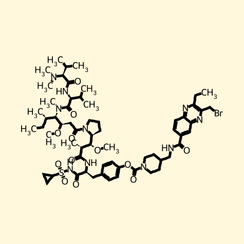 CCc1nc2ccc(C(=O)NCC3CCN(C(=O)Oc4ccc(C[C@H](NC(=O)[C@H](C)[C@@H](OC)[C@@H]5CCCN5C(=O)C[C@@H](OC)[C@H]([C@@H](C)CC)N(C)C(=O)[C@@H](NC(=O)[C@H](C(C)C)N(C)C)C(C)C)C(=O)NS(=O)(=O)C5CC5)cc4)CC3)cc2nc1CBr